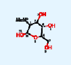 CN[C@H]1C(O)[C@H](O)C(CO)O[C@H]1O